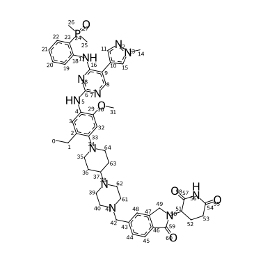 CCc1cc(Nc2ncc(-c3cnn(C)c3)c(Nc3ccccc3P(C)(C)=O)n2)c(OC)cc1N1CCC(N2CCN(Cc3ccc4c(c3)CN(C3CCC(=O)NC3=O)C4=O)CC2)CC1